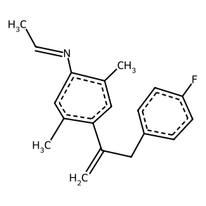 C=C(Cc1ccc(F)cc1)c1cc(C)c(/N=C/C)cc1C